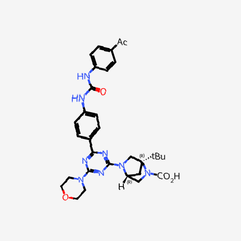 CC(=O)c1ccc(NC(=O)Nc2ccc(-c3nc(N4CCOCC4)nc(N4C[C@]5(C(C)(C)C)C[C@@H]4CN5C(=O)O)n3)cc2)cc1